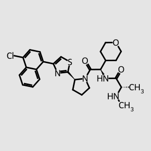 CN[C@@H](C)C(=O)N[C@@H](C(=O)N1CCC[C@H]1c1nc(-c2ccc(Cl)c3ccccc23)cs1)C1CCOCC1